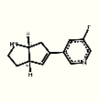 Fc1cncc(C2=C[C@@H]3CCN[C@@H]3C2)c1